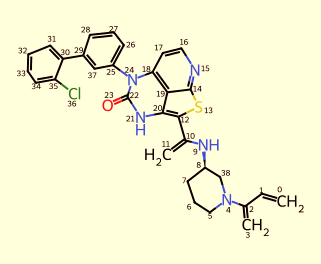 C=CC(=C)N1CCC[C@@H](NC(=C)c2sc3nccc4c3c2NC(=O)N4c2cccc(-c3ccccc3Cl)c2)C1